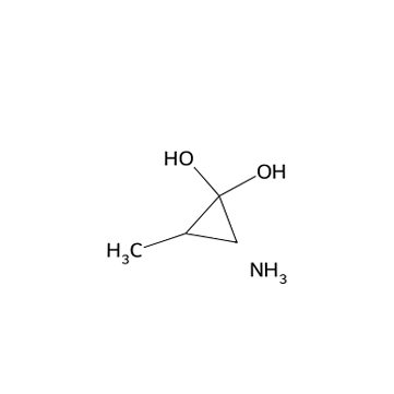 CC1CC1(O)O.N